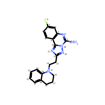 Nc1nc2cc(F)ccc2c2nc(CCN3CCCc4ccccc43)nn12